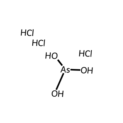 Cl.Cl.Cl.O[As](O)O